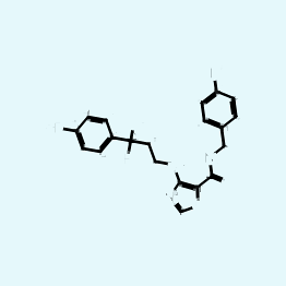 O=C(NCc1ccc(F)cc1)c1scnc1SCCC(F)(F)c1ccc(F)cc1